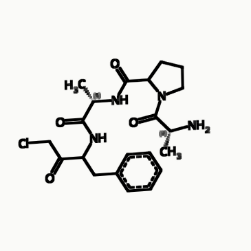 C[C@H](NC(=O)C1CCCN1C(=O)[C@@H](C)N)C(=O)NC(Cc1ccccc1)C(=O)CCl